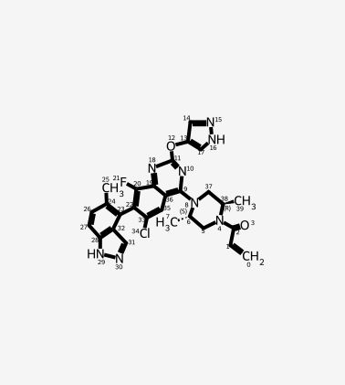 C=CC(=O)N1C[C@H](C)N(c2nc(Oc3cn[nH]c3)nc3c(F)c(-c4c(C)ccc5[nH]ncc45)c(Cl)cc23)C[C@H]1C